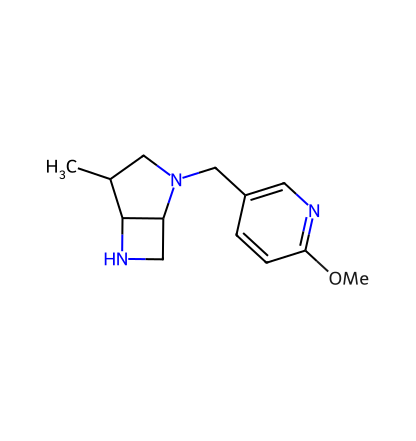 COc1ccc(CN2CC(C)C3NCC32)cn1